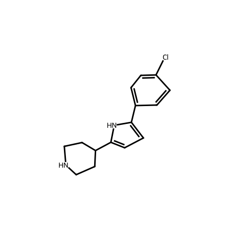 Clc1ccc(-c2ccc(C3CCNCC3)[nH]2)cc1